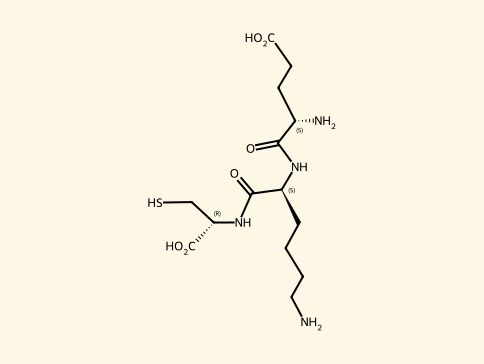 NCCCC[C@H](NC(=O)[C@@H](N)CCC(=O)O)C(=O)N[C@@H](CS)C(=O)O